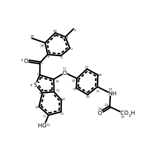 Cc1ccc(C(=O)c2sc3cc(O)ccc3c2Oc2ccc(NC(=O)C(=O)O)cc2)c(C)c1